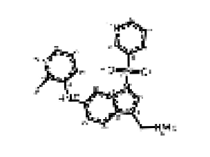 CNCc1cn(S(=O)(=O)c2cccnc2)c2cc(Nc3cccnc3C)ccc12